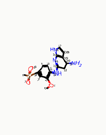 COc1cc(S(C)(=O)=O)ccc1NC1=Nc2[nH]ccc2C(N)C1